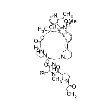 C=CC(=O)N1CC[C@H](C(=O)N(C)[C@H](C(=O)N[C@H]2CN3CCC[C@H](C3)c3ccc4c(c3)c(c(-c3cccnc3[C@H](C)OC)n4CC)CC(C)(C)COC(=O)[C@@H]3CCCN(N3)C2=O)C(C)C)C1